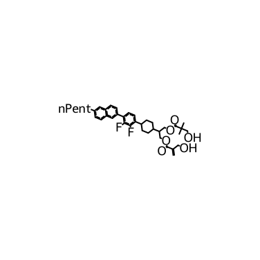 C=C(CO)C(=O)OCC(COC(=O)C(C)(C)CO)C1CCC(c2ccc(-c3ccc4cc(CCCCC)ccc4c3)c(F)c2F)CC1